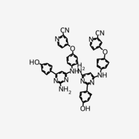 N#Cc1cc(Oc2ccc(Nc3cc(-c4ccc(O)cc4)nc(N)n3)cc2)ccn1.N#Cc1cc(Oc2ccc(Nc3cc(N)nc(-c4ccc(O)cc4)n3)cc2)ccn1